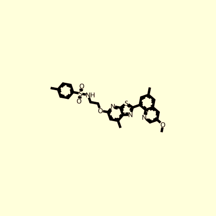 COc1cnc2c(-c3nc4c(C)cc(OCCNS(=O)(=O)c5ccc(C)cc5)nc4s3)cc(C)cc2c1